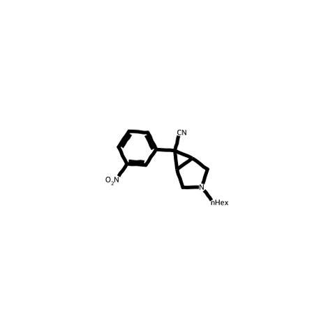 CCCCCCN1CC2C(C1)C2(C#N)c1cccc([N+](=O)[O-])c1